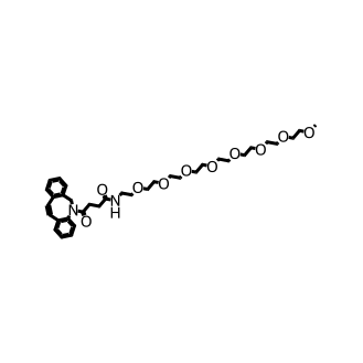 COCCOCCOCCOCCOCCOCCOCCOCCNC(=O)CCC(=O)N1Cc2ccccc2C#Cc2ccccc21